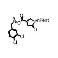 CCCCCN1CC(C(=O)ON(C)Cc2ccc(Cl)c(Cl)c2)CC1=O